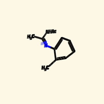 CC(=O)N/C(C)=N\c1ccccc1C